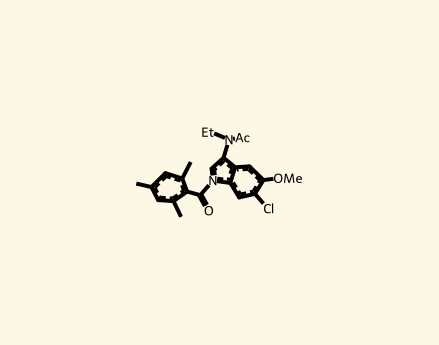 CCN(C(C)=O)c1cn(C(=O)c2c(C)cc(C)cc2C)c2cc(Cl)c(OC)cc12